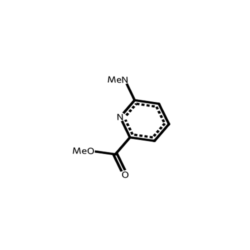 CNc1cccc(C(=O)OC)n1